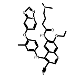 CCOc1cc2ncc(C#N)c(Nc3ccc(Oc4ccn5ncnc5c4)c(C)c3)c2cc1NC(=O)CCCN(C)C